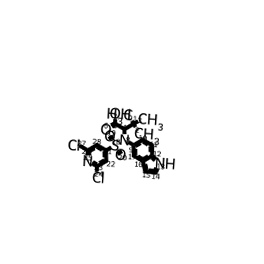 CC(C)(C)C(C(=O)O)N(c1ccc2[nH]ccc2c1)S(=O)(=O)c1cc(Cl)nc(Cl)c1